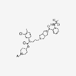 CC(=O)N1CCC(OC(=O)N(CCCN2CC3CN(C(=O)c4ccccc4NS(C)(=O)=O)CC3C2)c2ccc(C)c(Cl)c2)CC1